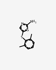 Cc1cccc(C)c1Sc1cnc(N)s1